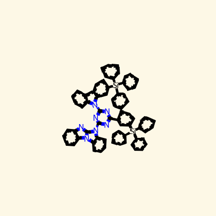 c1ccc([Si](c2ccccc2)(c2ccccc2)c2cccc(-c3nc(-n4c5ccccc5c5ccc([Si](c6ccccc6)(c6ccccc6)c6ccccc6)cc54)nc(-n4c5ccccc5n5c6ccccc6nc45)n3)c2)cc1